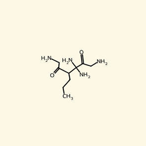 CCCC(C(=O)CN)C(N)(N)C(=O)CN